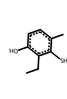 CCc1c(O)ccc(C)c1S